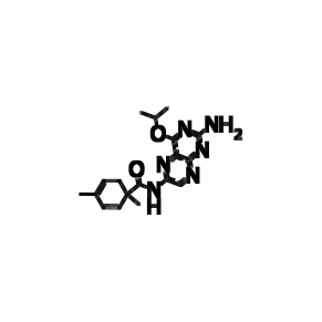 CC1=CCC(C)(C(=O)Nc2cnc3nc(N)nc(OC(C)C)c3n2)C=C1